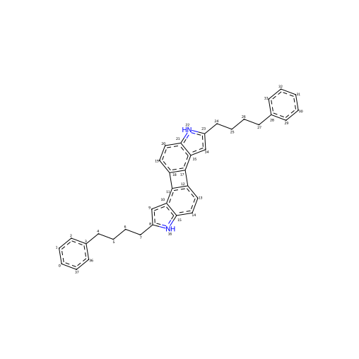 c1ccc(CCCCc2cc3c4c(ccc3[nH]2)-c2c-4ccc3[nH]c(CCCCc4ccccc4)cc23)cc1